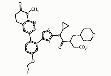 CN1C(=O)CCc2cc(-c3ccc(OCF)cc3-c3csc(N(C(=O)C(CC(=O)O)CC4CCOCC4)C4CC4)n3)cnc21